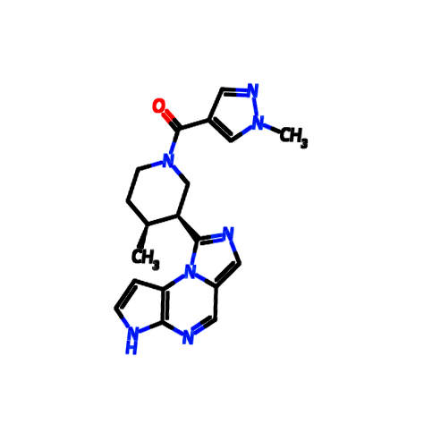 C[C@H]1CCN(C(=O)c2cnn(C)c2)C[C@H]1c1ncc2cnc3[nH]ccc3n12